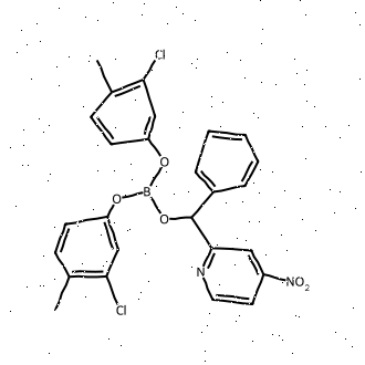 Cc1ccc(OB(Oc2ccc(C)c(Cl)c2)OC(c2ccccc2)c2cc([N+](=O)[O-])ccn2)cc1Cl